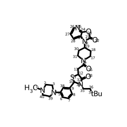 CN1CCN(c2cccc(C3SC(CC(=O)N4CCC(n5c(=O)oc6ncccc65)CC4)C(=O)N3CCC(C)(C)C)c2)CC1